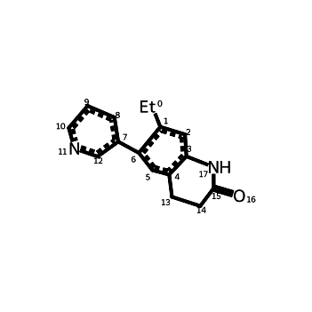 CCc1cc2c(cc1-c1cccnc1)CCC(=O)N2